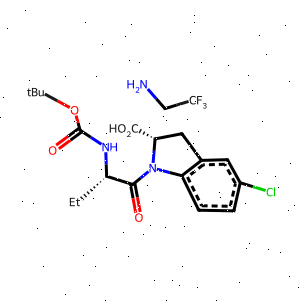 CC[C@H](NC(=O)OC(C)(C)C)C(=O)N1c2ccc(Cl)cc2C[C@H]1C(=O)O.NCC(F)(F)F